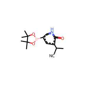 CC(C#N)c1cc(B2OC(C)(C)C(C)(C)O2)c[nH]c1=O